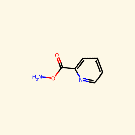 NOC(=O)c1c[c]ccn1